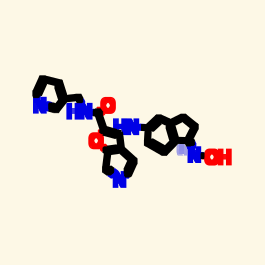 O=C(NCc1cccnc1)c1oc2cnccc2c1Nc1ccc2c(c1)CC/C2=N\O